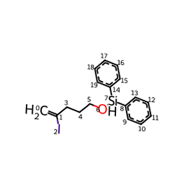 C=C(I)CCCO[SiH](c1ccccc1)c1ccccc1